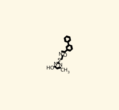 Cc1cc(O)nc(SCc2ncc(-c3cccc(-c4ccccc4)c3)o2)n1